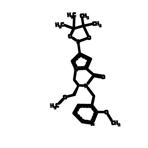 COC[C@H]1Cn2cc(B3OC(C)(C)C(C)(C)O3)cc2C(=O)N1Cc1cccnc1OC